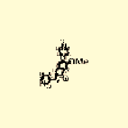 COc1cc2c(cc1N1CCN(C)CC1)CC(=Cc1cccnc1)C2=O